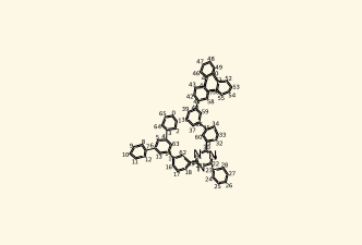 c1ccc(-c2cc(-c3ccccc3)cc(-c3cccc(-c4nc(-c5ccccc5)nc(-c5cccc(-c6cccc(-c7ccc8c9ccccc9c9ccccc9c8c7)c6)c5)n4)c3)c2)cc1